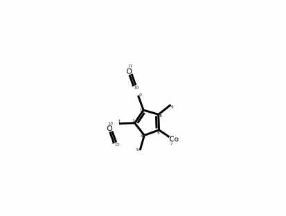 CC1=C(C)C(C)[C]([Co])=C1C.[C]=O.[C]=O